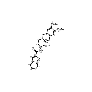 COc1cc2c(cc1OC)CN1CC[C@H](NC(=O)c3cc4ccccc4o3)C[C@H]1C2